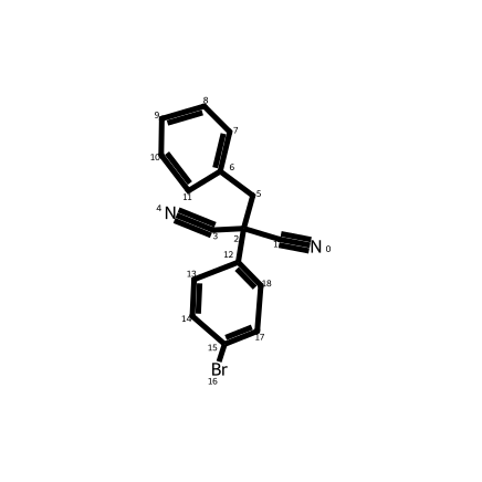 N#CC(C#N)(Cc1ccccc1)c1ccc(Br)cc1